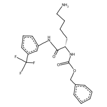 NCCCC[C@H](NC(=O)OCc1ccccc1)C(=O)Nc1cccc(C(F)(F)F)c1